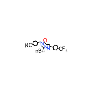 CCCCC1CN(Cc2ccc(C#N)cc2)C(=O)c2cc(C3=CCC(C(F)(F)F)CC3)nn21